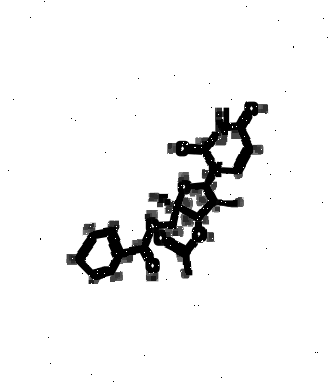 CC(=O)O[C@H]1[C@H](C)[C@H](n2ccc(=O)[nH]c2=O)O[C@]1(F)COC(=O)c1ccccc1